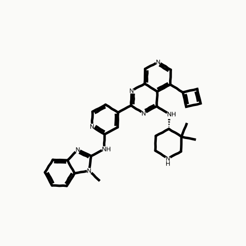 Cn1c(Nc2cc(-c3nc(N[C@H]4CCNCC4(C)C)c4c(C5=CC=C5)cncc4n3)ccn2)nc2ccccc21